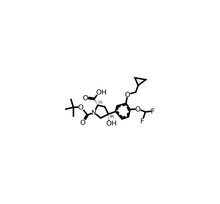 CC(C)(C)OC(=O)N1C[C@](O)(c2ccc(OC(F)F)c(OCC3CC3)c2)C[C@H]1C(=O)O